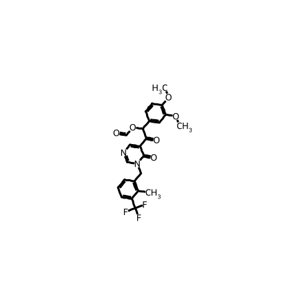 COc1ccc(C(OC=O)C(=O)c2cncn(Cc3cccc(C(F)(F)F)c3C)c2=O)cc1OC